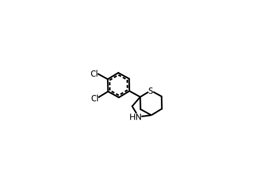 Clc1ccc(C23CNC(CCS2)C3)cc1Cl